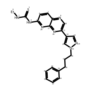 CCNC(=S)Nc1ccc2ncc(-c3cnn(CCCc4ccccc4)c3)nc2n1